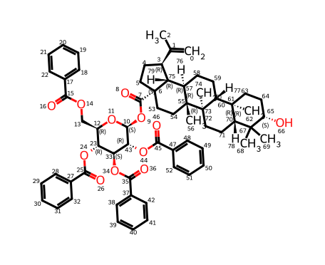 C=C(C)[C@@H]1CC[C@]2(C(=O)O[C@@H]3O[C@H](COC(=O)c4ccccc4)[C@@H](OC(=O)c4ccccc4)[C@H](OC(=O)c4ccccc4)[C@H]3OC(=O)c3ccccc3)CC[C@]3(C)[C@H](CC[C@@H]4[C@@]5(C)CC[C@H](O)C(C)(C)[C@@H]5CC[C@]43C)[C@@H]12